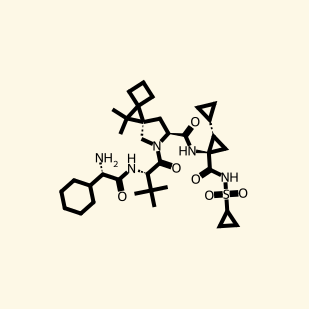 CC(C)(C)[C@H](NC(=O)[C@@H](N)C1CCCCC1)C(=O)N1C[C@]2(C[C@H]1C(=O)N[C@]1(C(=O)NS(=O)(=O)C3CC3)C[C@H]1C1CC1)C(C)(C)C21CCC1